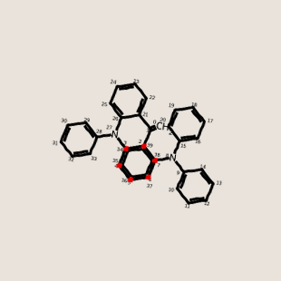 C=C(c1ccccc1N(c1ccccc1)c1ccccc1)c1ccccc1N(c1ccccc1)c1ccccc1